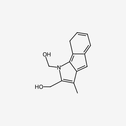 Cc1c(CO)n(CO)c2c1=CC1=CC=CCC=21